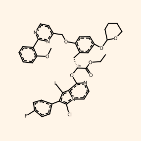 CCOC(=O)[C@@H](Cc1cc(OC2CCCCO2)ccc1OCc1ccnc(-c2ccccc2OC)n1)Oc1nccn2c(Cl)c(-c3ccc(F)cc3)c(I)c12